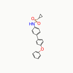 O=S(=O)(Nc1ccc(-c2ccc(Oc3ccccc3)cc2)cc1)C1CC1